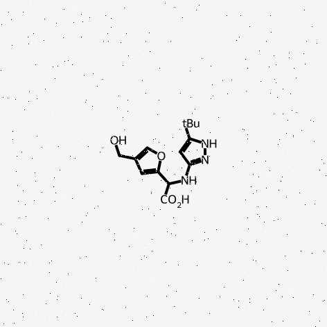 CC(C)(C)c1cc(NC(C(=O)O)c2cc(CO)co2)n[nH]1